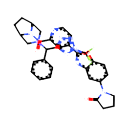 O=C1CCCN1c1ccc2oc(-c3ccnc(C(=O)N4C5CCC4CN(C(c4ccccc4)c4nnn(C(F)F)n4)C5)c3)nc2c1